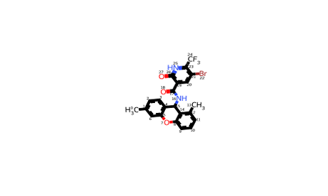 Cc1ccc2c(c1)Oc1cccc(C)c1C2NC(=O)c1cc(Br)c(C(F)(F)F)[nH]c1=O